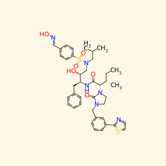 CC[C@H](C)[C@@H](C(=O)N[C@@H](Cc1ccccc1)[C@@H](O)CN(CC(C)C)S(=O)(=O)c1ccc(C=NO)cc1)N1CCN(Cc2cccc(-c3nccs3)c2)C1=O